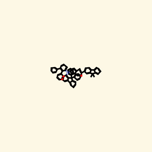 CC1(C)c2ccccc2-c2ccc(-c3ccc4cc(N(c5cccc(-c6ccccc6)c5-c5ccccc5)c5cccc6c5C(c5ccccc5)(c5ccccc5)c5ccccc5-6)ccc4c3)cc21